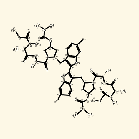 CCC[C@H](NC(=O)[C@H](C)N(C)C(=O)OC(C)(C)C)C(=O)N1C[C@@H](OC(=O)N(C)C)C[C@H]1Cc1c(-c2[nH]c3cc(F)ccc3c2C[C@@H]2C[C@H](OC(=O)N(C)C)CN2C(=O)[C@H](CC)NC(=O)[C@H](C)N(C)C(=O)OC(C)(C)C)[nH]c2cc(F)ccc12